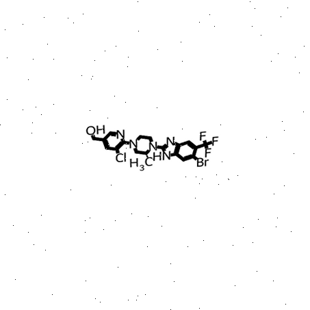 C[C@@H]1CN(c2ncc(CO)cc2Cl)CCN1c1nc2cc(C(F)(F)F)c(Br)cc2[nH]1